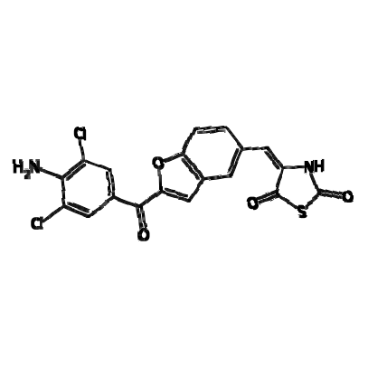 Nc1c(Cl)cc(C(=O)c2cc3cc(C=C4NC(=O)SC4=O)ccc3o2)cc1Cl